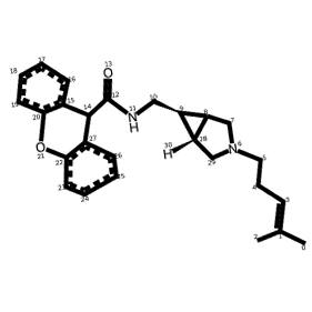 CC(C)=CCCN1CC2[C@H](CNC(=O)C3c4ccccc4Oc4ccccc43)[C@H]2C1